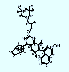 C[C@@H](COc1nc(N2CC3CCC(C2)N3)c2cc(Cl)c(-c3cc(O)cc4ccccc34)c(F)c2n1)CN1CC(C)(C)OC(C)(C)C1